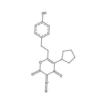 [N-]=[N+]=C1C(=O)OC(CCc2ccc(O)cc2)=C(C2CCCC2)C1=O